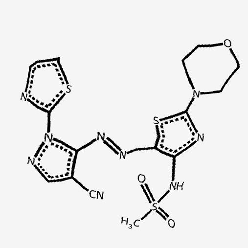 CS(=O)(=O)Nc1nc(N2CCOCC2)sc1/N=N/c1c(C#N)cnn1-c1nccs1